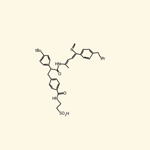 C=N/C(=C\C=C(/C)NC(=O)C(Cc1ccc(C(=O)NCCS(=O)(=O)O)cc1)c1ccc(C(C)(C)C)cc1)c1ccc(CC(C)C)cc1